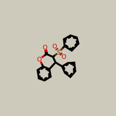 O=C1Oc2ccccc2C(c2ccccc2)C1S(=O)(=O)c1ccccc1